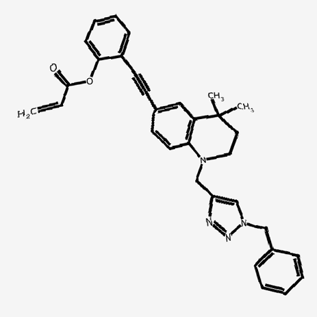 C=CC(=O)Oc1ccccc1C#Cc1ccc2c(c1)C(C)(C)CCN2Cc1cn(Cc2ccccc2)nn1